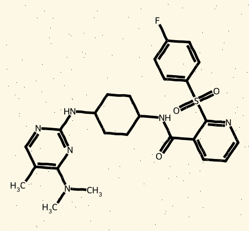 Cc1cnc(NC2CCC(NC(=O)c3cccnc3S(=O)(=O)c3ccc(F)cc3)CC2)nc1N(C)C